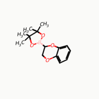 CC1(C)OB(C2COc3ccccc3O2)OC1(C)C